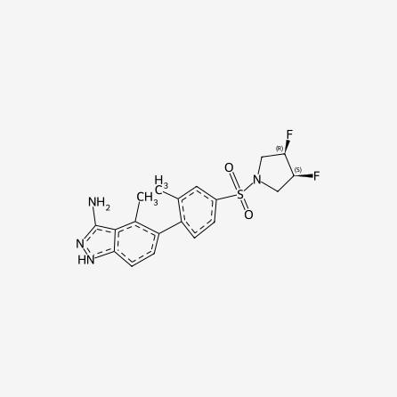 Cc1cc(S(=O)(=O)N2C[C@@H](F)[C@@H](F)C2)ccc1-c1ccc2[nH]nc(N)c2c1C